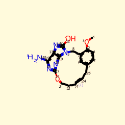 COc1ccc2cc1Cn1c(O)nc3c(N)nc(nc31)OCC/C=C\C2